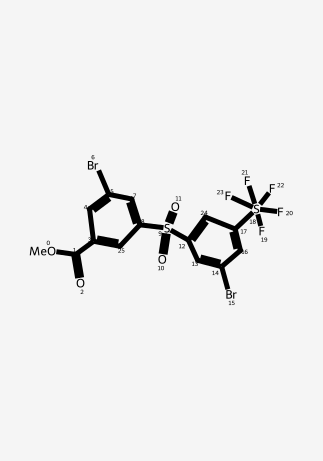 COC(=O)c1cc(Br)cc(S(=O)(=O)c2cc(Br)cc(S(F)(F)(F)(F)F)c2)c1